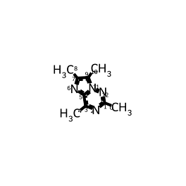 Cc1nc(C)c2nc(C)c(C)n2n1